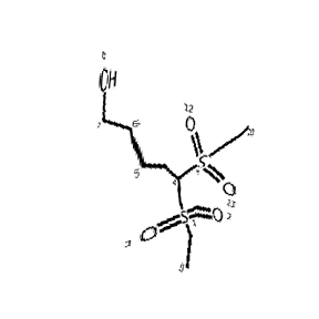 CS(=O)(=O)C(CCCO)S(C)(=O)=O